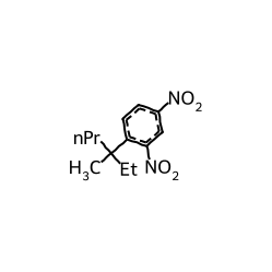 CCCC(C)(CC)c1ccc([N+](=O)[O-])cc1[N+](=O)[O-]